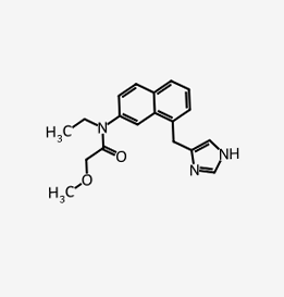 CCN(C(=O)COC)c1ccc2cccc(Cc3c[nH]cn3)c2c1